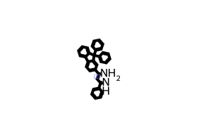 N=C(/C=C(\N)c1ccc2c(c1)C(c1ccccc1)(c1ccccc1)c1ccccc1-2)c1ccccc1